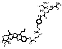 C=CCc1c2c(nc3ccc(OC(=O)N(C)CCN(C)C(=O)OCc4ccc(NC(=O)[C@H](CCCNC(N)=O)NC(=O)[C@@H](NC)C(C)C)cc4)cc13)-c1cc3c(c(=O)n1C2)COC(=O)[C@]3(O)CC